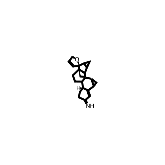 CC[C@]12CCC3C(C4CC4C4=CC(=N)CC[C@@H]43)C1C1CC1[C@@]21C=CCO1